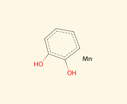 Oc1ccccc1O.[Mn]